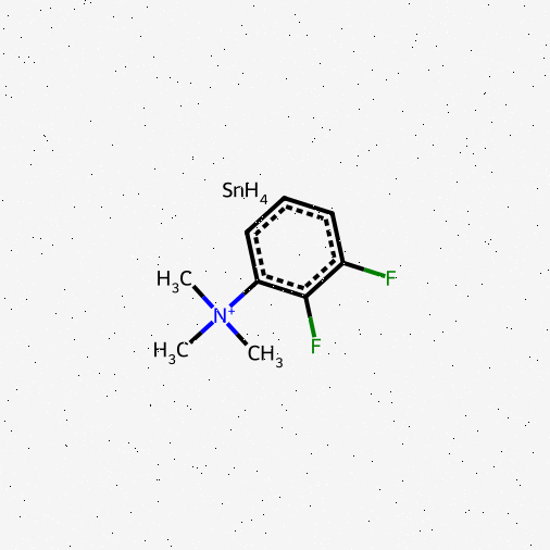 C[N+](C)(C)c1cccc(F)c1F.[SnH4]